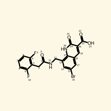 O=C(Cc1c(F)cccc1F)NCc1cc(Br)cc2cc(C(=O)O)c(=O)[nH]c12